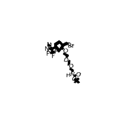 CC(C)(C)OC(=O)NCCOCCOCCOc1cc(C2(C(F)(F)F)N=N2)ccc1CBr